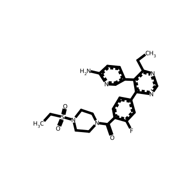 CCc1ncnc(-c2ccc(C(=O)N3CCN(S(=O)(=O)CC)CC3)c(F)c2)c1-c1ccc(N)nc1